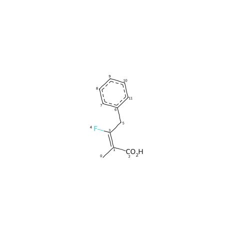 C/C(C(=O)O)=C(\F)Cc1ccccc1